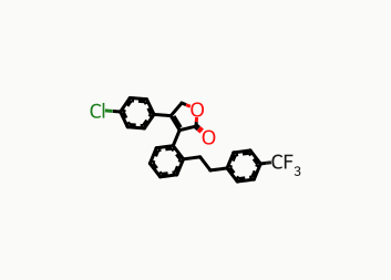 O=C1OCC(c2ccc(Cl)cc2)=C1c1ccccc1CCc1ccc(C(F)(F)F)cc1